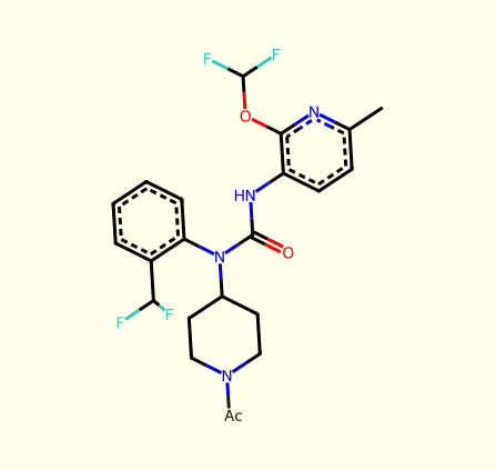 CC(=O)N1CCC(N(C(=O)Nc2ccc(C)nc2OC(F)F)c2ccccc2C(F)F)CC1